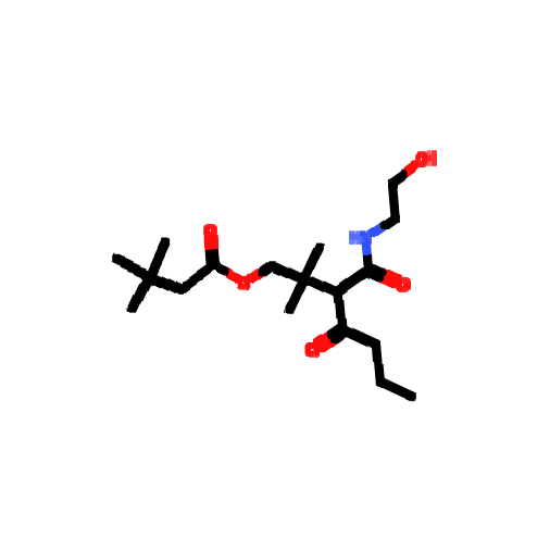 CCCC(=O)C(C(=O)NCCO)C(C)(C)COC(=O)CC(C)(C)C